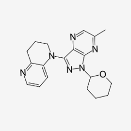 Cc1cnc2c(N3CCCc4ncccc43)nn(C3CCCCO3)c2n1